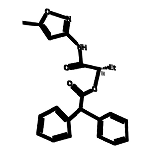 CC[C@H](OC(=O)C(c1ccccc1)c1ccccc1)C(=O)Nc1cc(C)on1